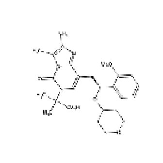 COc1ccccc1[C@H](Cc1cn(C(C)(C)C(=O)O)c(=O)n2c(C)c(C)nc12)OC1CCOCC1